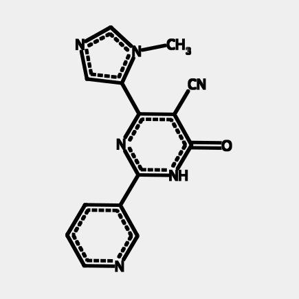 Cn1cncc1-c1nc(-c2cccnc2)[nH]c(=O)c1C#N